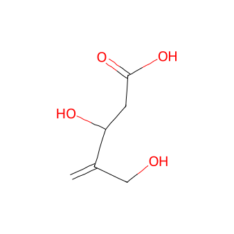 C=C(CO)C(O)CC(=O)O